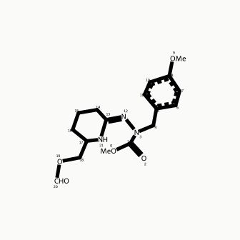 COC(=O)N(Cc1ccc(OC)cc1)N=C1CCCC(COC=O)N1